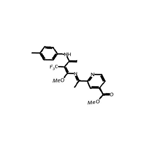 C=C(Nc1ccc(C)cc1)/C(=C(\N=C(/C)c1cc(C(=O)OC)ccn1)OC)C(F)(F)F